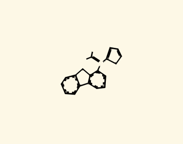 C[C](C)=[Zr+2]([C]1=CC=CC1)[c]1cccc2c1Cc1ccccc1-2.[H-].[H-]